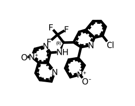 [O-][n+]1cccc(-c2nc3c(Cl)cccc3cc2[C@@H](Nc2nc[n+]([O-])c3cccnc23)C(F)(F)F)c1